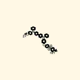 CCCC(C)(C)c1ccc(S(=O)(=O)c2ccc(Oc3ccc(N(c4ccccc4)c4ccc(-c5ccc(N(c6ccccc6)c6ccc(OC(C)(C)CC)cc6)cc5)cc4)cc3)cc2)cc1